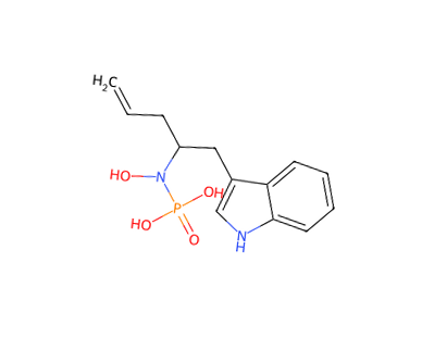 C=CCC(Cc1c[nH]c2ccccc12)N(O)P(=O)(O)O